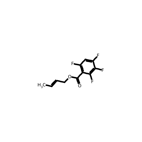 C/C=C/COC(=O)c1c(F)cc(F)c(F)c1F